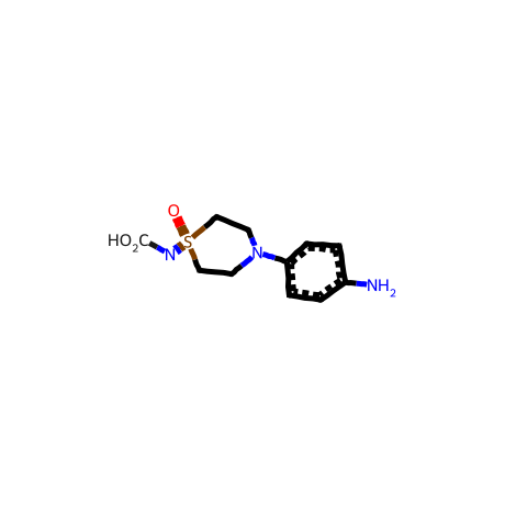 Nc1ccc(N2CCS(=O)(=NC(=O)O)CC2)cc1